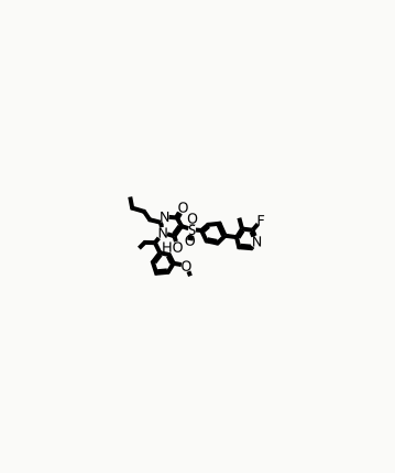 CCCCc1nc(=O)c(S(=O)(=O)c2ccc(-c3ccnc(F)c3C)cc2)c(O)n1C(CC)c1cccc(OC)c1